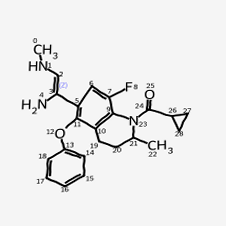 CN/C=C(\N)c1cc(F)c2c(c1Oc1ccccc1)CCC(C)N2C(=O)C1CC1